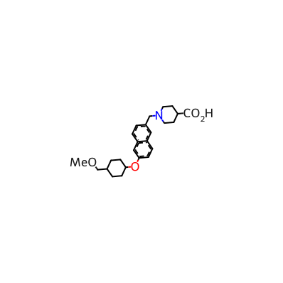 COCC1CCC(Oc2ccc3cc(CN4CCC(C(=O)O)CC4)ccc3c2)CC1